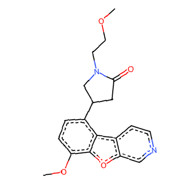 COCCN1CC(c2ccc(OC)c3oc4cnccc4c23)CC1=O